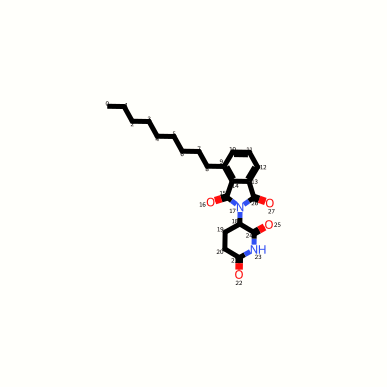 C[CH]CCCCCCCc1cccc2c1C(=O)N(C1CCC(=O)NC1=O)C2=O